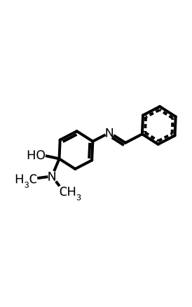 CN(C)C1(O)C=CC(N=Cc2ccccc2)=CC1